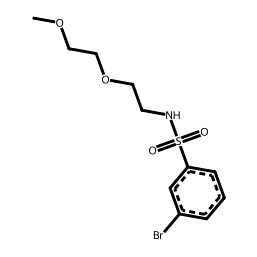 COCCOCCNS(=O)(=O)c1cccc(Br)c1